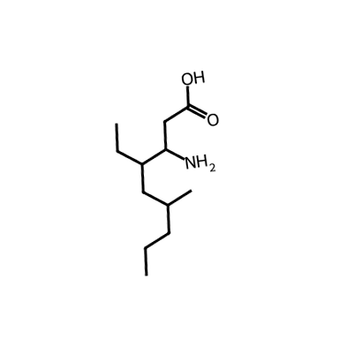 CCCC(C)CC(CC)C(N)CC(=O)O